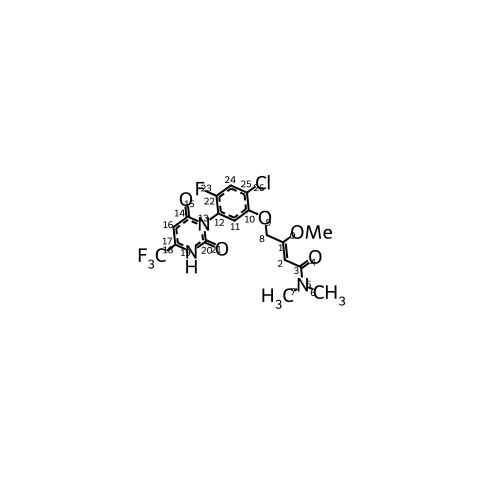 CO/C(=C\C(=O)N(C)C)COc1cc(-n2c(=O)cc(C(F)(F)F)[nH]c2=O)c(F)cc1Cl